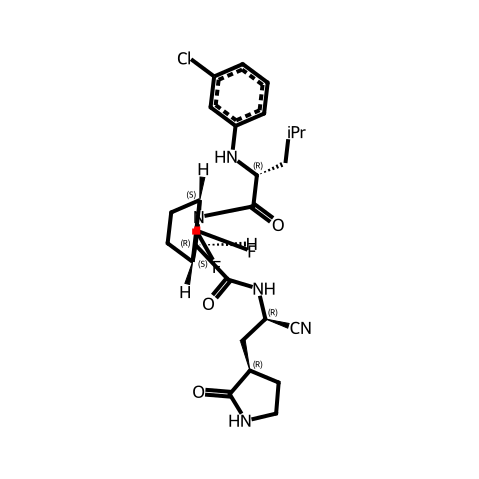 CC(C)C[C@@H](Nc1cccc(Cl)c1)C(=O)N1[C@H]2CC[C@@H]([C@@H]1C(=O)N[C@@H](C#N)C[C@H]1CCNC1=O)C(F)(F)C2